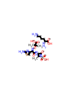 C[C@H]1[C@H](NC(=O)/C(=N\OC(C)(C)C(=O)O)c2csc(N)n2)C(=O)N1S(=O)(=O)O.NCCCC[C@H](N)C(=O)O